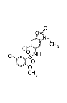 CCn1c(=O)oc2cc(Cl)c(NS(=O)(=O)c3cc(Cl)ccc3OC)cc21